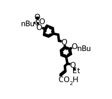 CCCCOc1cc(C(CC=CC(=O)O)OCC)ccc1OCCc1ccc(OS(=O)(=O)CCCC)cc1